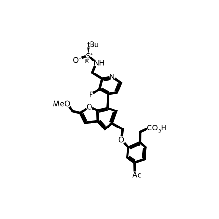 COCc1cc2cc(COc3cc(C(C)=O)ccc3CC(=O)O)cc(-c3ccnc(CN[S@@+]([O-])C(C)(C)C)c3F)c2o1